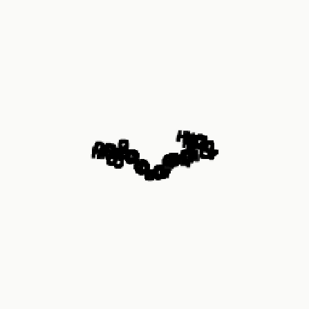 CC1(Oc2ccc3[nH]nc(-c4cc(N5CCO[C@@H](CN6CCC(OC7CCN(c8ccc9c(c8)C(=O)N(C8CCC(=O)NC8=O)C9=O)CC7)CC6)C5)ncn4)c3c2)CC1